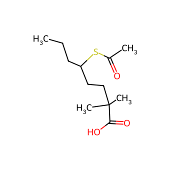 CCCC(CCC(C)(C)C(=O)O)SC(C)=O